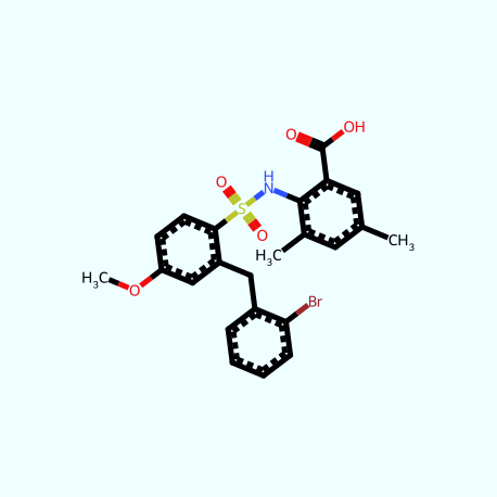 COc1ccc(S(=O)(=O)Nc2c(C)cc(C)cc2C(=O)O)c(Cc2ccccc2Br)c1